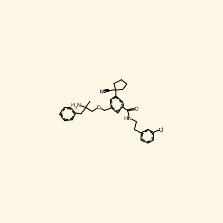 CC(N)(COCc1cc(C(=O)NCCc2cccc(Cl)c2)cc(C2(C#N)CCCC2)c1)Cc1ccccc1